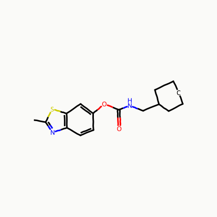 Cc1nc2ccc(OC(=O)NCC3CCCCC3)cc2s1